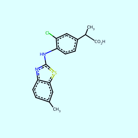 Cc1ccc2nc(Nc3ccc(C(C)C(=O)O)cc3Cl)sc2c1